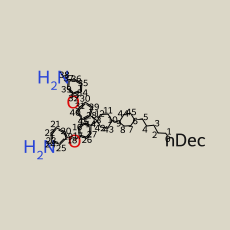 CCCCCCCCCCCCCCC[C@H]1CC[C@@H](C2CCC(c3ccc(Oc4cccc(N)c4)cc3)(c3ccc(Oc4cccc(N)c4)cc3)CC2)CC1